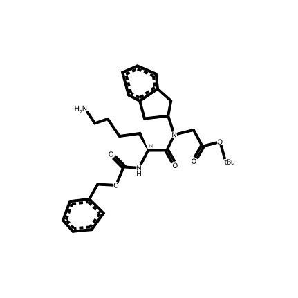 CC(C)(C)OC(=O)CN(C(=O)[C@H](CCCCN)NC(=O)OCc1ccccc1)C1Cc2ccccc2C1